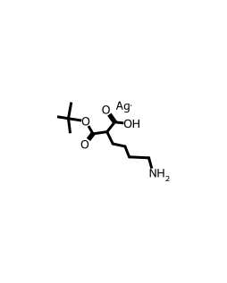 CC(C)(C)OC(=O)C(CCCCN)C(=O)O.[Ag]